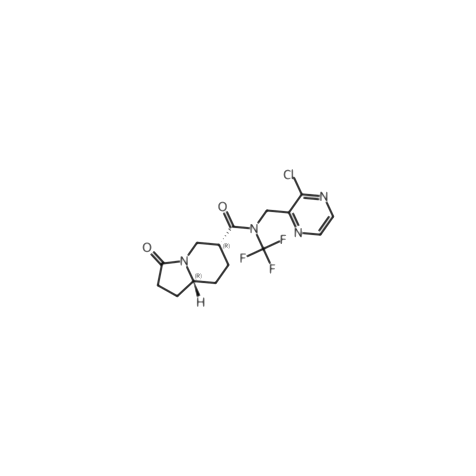 O=C1CC[C@H]2CC[C@@H](C(=O)N(Cc3nccnc3Cl)C(F)(F)F)CN12